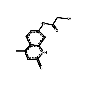 Cc1cc(=O)[nH]c2cc(NC(=O)CS)ccc12